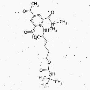 CC(=O)c1cc(C(=O)N(C)C)c(N[C@H](C)CCCCOC(=O)NC(C)(C)C)c([N+](=O)[O-])c1